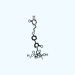 CC(CCn1ccc(-c2ccc(OCCCN3CCNC(=O)C3)cc2)cc1=O)(C(=O)NO)S(C)(=O)=O